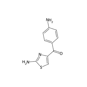 Nc1ccc(C(=O)c2csc(N)n2)cc1